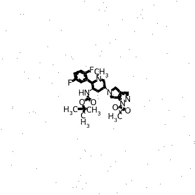 CN1C[C@H](N2Cc3cnn(S(C)(=O)=O)c3C2)C[C@H](NC(=O)OC(C)(C)C)C1c1cc(F)ccc1F